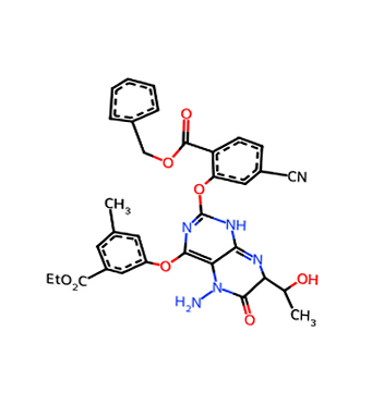 CCOC(=O)c1cc(C)cc(OC2=C3C(=NC(C(C)O)C(=O)N3N)NC(Oc3cc(C#N)ccc3C(=O)OCc3ccccc3)=N2)c1